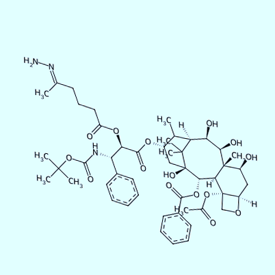 CC(=O)O[C@@]12CO[C@@H]1C[C@H](O)[C@@]1(C)[C@H](O)[C@H](O)[C@@H]3C(C)[C@@H](OC(=O)[C@H](OC(=O)CCC/C(C)=N/N)[C@@H](NC(=O)OC(C)(C)C)c4ccccc4)C[C@@](O)([C@@H](OC(=O)c4ccccc4)[C@H]21)C3(C)C